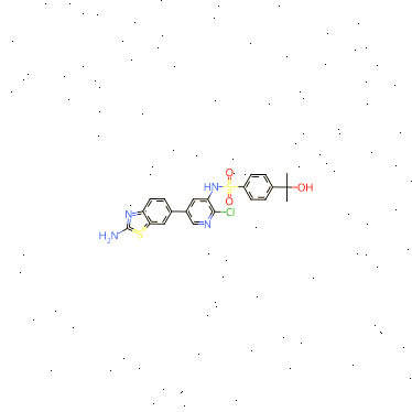 CC(C)(O)c1ccc(S(=O)(=O)Nc2cc(-c3ccc4nc(N)sc4c3)cnc2Cl)cc1